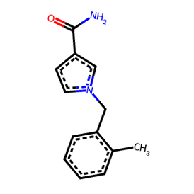 Cc1ccccc1Cn1ccc(C(N)=O)c1